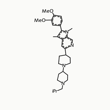 COc1ccc(-c2c(C)c3cc(C4CCN(C5CCN(CC(C)C)CC5)CC4)ncc3n2C)cc1OC